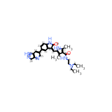 CCN(CC)CCNC(=O)c1c(C)[nH]c(/C=C2\C(=O)Nc3ccc(-c4cnc5cn[nH]c5c4)cc32)c1C